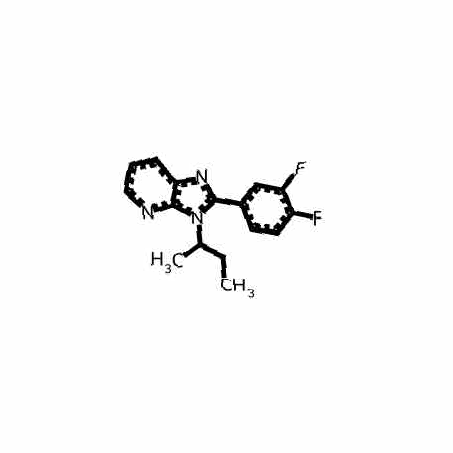 CCC(C)n1c(-c2ccc(F)c(F)c2)nc2cccnc21